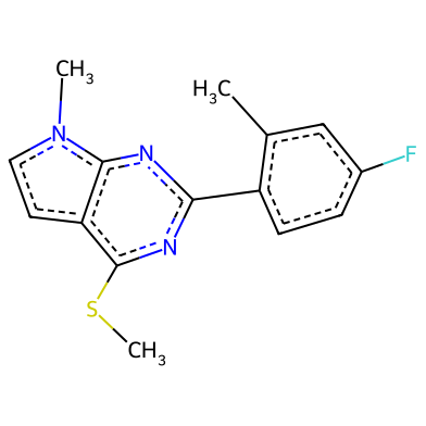 CSc1nc(-c2ccc(F)cc2C)nc2c1ccn2C